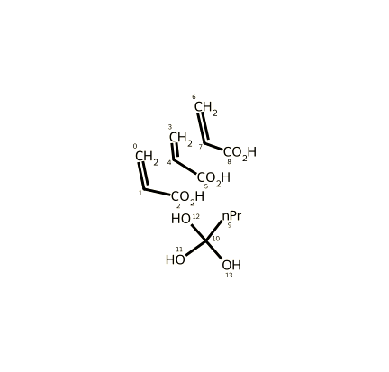 C=CC(=O)O.C=CC(=O)O.C=CC(=O)O.CCCC(O)(O)O